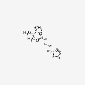 CC(C)C(C)OC(=O)CCCCC1CCSS1